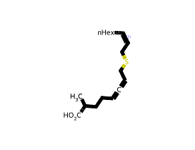 CCCCCC/C=C\CSCC=C=CCCC(C)C(=O)O